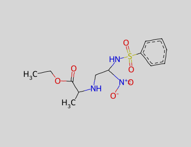 CCOC(=O)C(C)NCC(NS(=O)(=O)c1ccccc1)[N+](=O)[O-]